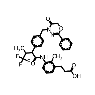 Cc1c(CCC(=O)O)cccc1NC(=O)C(c1ccc(CN2N=C(c3ccccc3)OCC2=O)cc1)C(C)C(F)(F)F